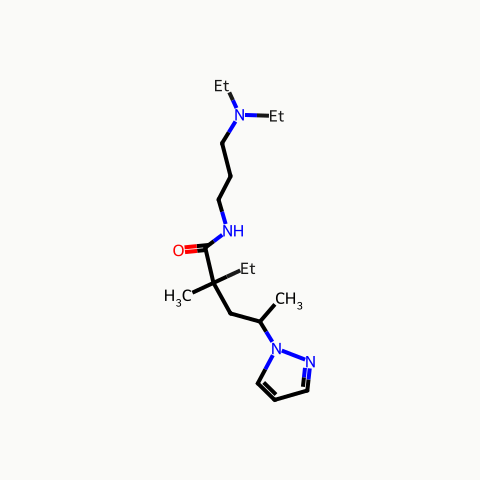 CCN(CC)CCCNC(=O)C(C)(CC)CC(C)n1cccn1